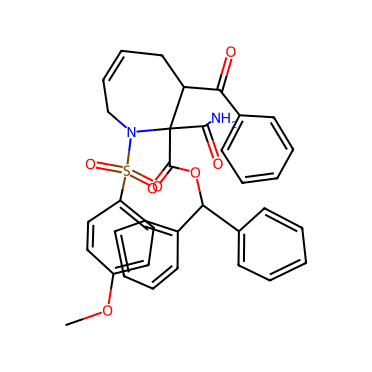 COc1ccc(S(=O)(=O)N2CC=CCC(C(=O)c3ccccc3)C2(C(N)=O)C(=O)OC(c2ccccc2)c2ccccc2)cc1